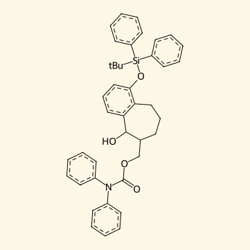 CC(C)(C)[Si](Oc1cccc2c1CCCC(COC(=O)N(c1ccccc1)c1ccccc1)C2O)(c1ccccc1)c1ccccc1